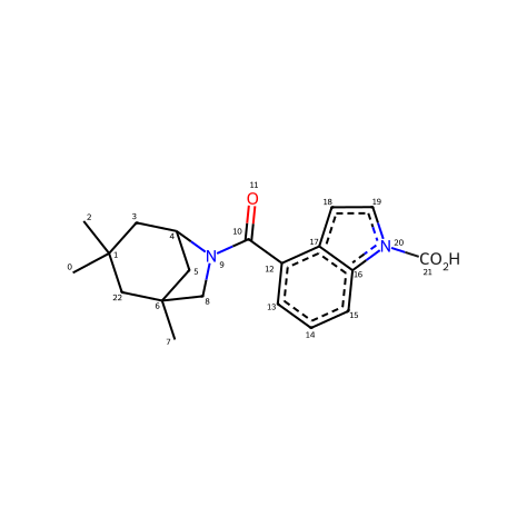 CC1(C)CC2CC(C)(CN2C(=O)c2cccc3c2ccn3C(=O)O)C1